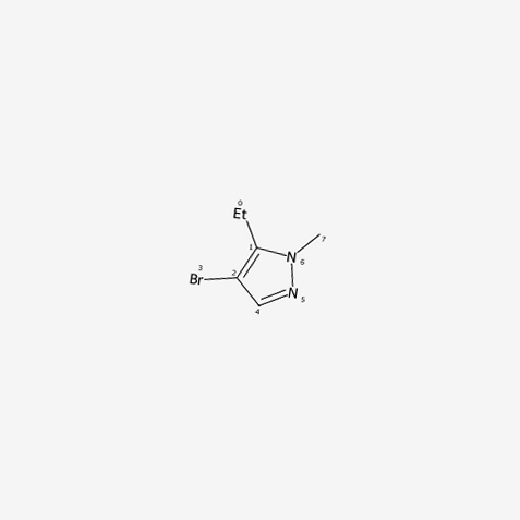 CCc1c(Br)cnn1C